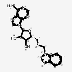 Nc1ncnc2c1ncn2C1O[C@H](CSCn2nnc3ccccc32)C(O)C1O